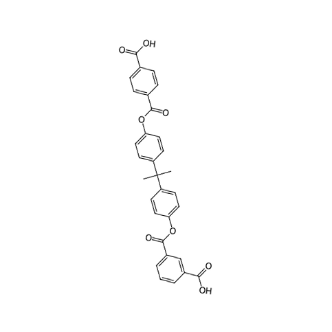 CC(C)(c1ccc(OC(=O)c2ccc(C(=O)O)cc2)cc1)c1ccc(OC(=O)c2cccc(C(=O)O)c2)cc1